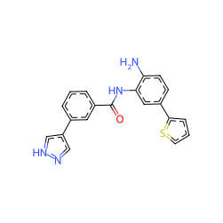 Nc1ccc(-c2cccs2)cc1NC(=O)c1cccc(-c2cn[nH]c2)c1